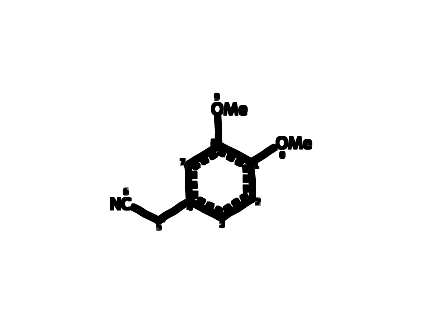 COc1ccc([CH]C#N)cc1OC